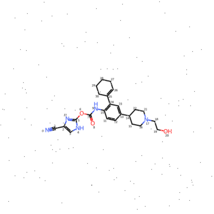 N#Cc1c[nH]c(OC(=O)Nc2ccc(C3CCN(CCO)CC3)cc2C2=CCCCC2)n1